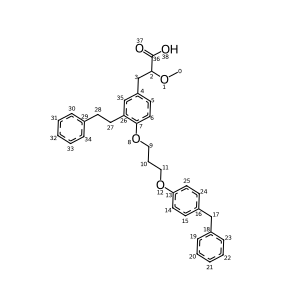 COC(Cc1ccc(OCCCOc2ccc(Cc3ccccc3)cc2)c(CCc2ccccc2)c1)C(=O)O